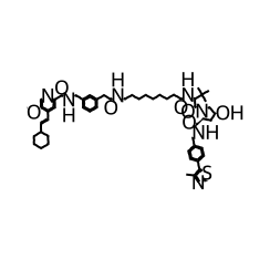 COc1cnc(C(=O)NCc2cccc(CC(=O)NCCCCCCCCC(=O)N[C@H](C(=O)N3C[C@H](O)C[C@H]3C(=O)NCc3ccc(-c4scnc4C)cc3)C(C)(C)C)c2)cc1/C=C/C1CCCCC1